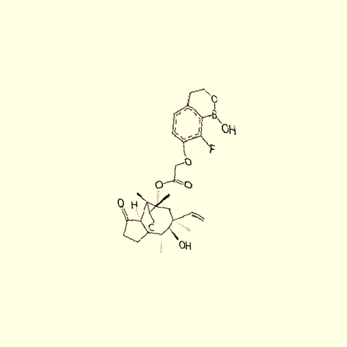 C=C[C@]1(C)C[C@@H](OC(=O)COc2ccc3c(c2F)B(O)OCC3)[C@]2(C)[C@H](C)CC[C@]3(CCC(=O)[C@H]32)[C@@H](C)[C@@H]1O